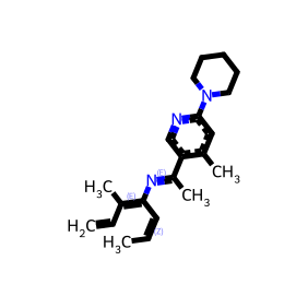 C=C/C(C)=C(\C=C/C)/N=C(\C)c1cnc(N2CCCCC2)cc1C